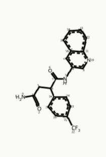 NC(=O)CC(C(=O)Nc1cnc2ccccc2c1)c1ccc(C(F)(F)F)cc1